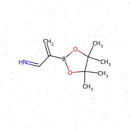 C=C(C=N)B1OC(C)(C)C(C)(C)O1